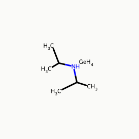 CC(C)NC(C)C.[GeH4]